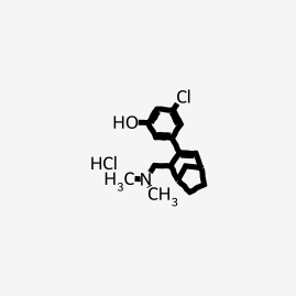 CN(C)CC1C(c2cc(O)cc(Cl)c2)=CC2CCC1C2.Cl